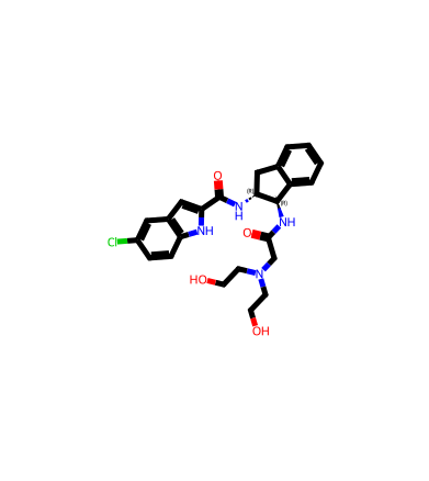 O=C(CN(CCO)CCO)N[C@@H]1c2ccccc2C[C@H]1NC(=O)c1cc2cc(Cl)ccc2[nH]1